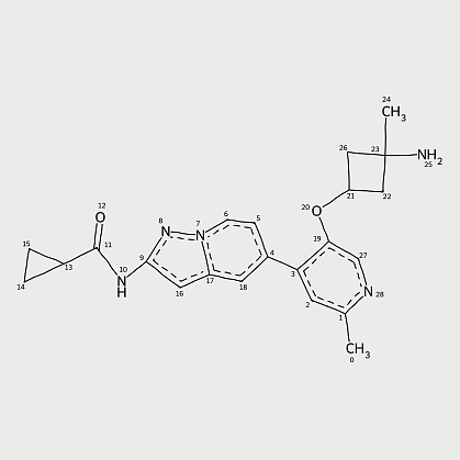 Cc1cc(-c2ccn3nc(NC(=O)C4CC4)cc3c2)c(OC2CC(C)(N)C2)cn1